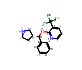 FC(F)(F)c1cccnc1OC(c1ccccc1)[C@@H]1CCNC1